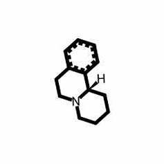 c1ccc2c(c1)CCN1CCCC[C@@H]21